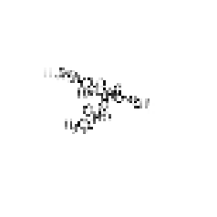 CCc1ccccc1N(CC)C(=O)N1Cc2c([AsH]C(=O)c3ccc(N4CCN(C)CC4)cc3)nn(C(=O)OCCOC)c2C1